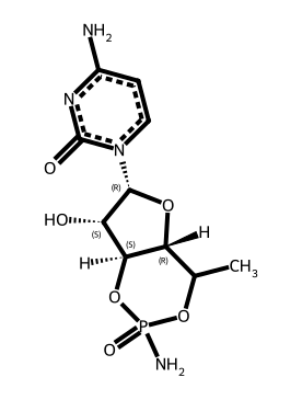 CC1OP(N)(=O)O[C@H]2[C@H](O)[C@H](n3ccc(N)nc3=O)O[C@H]12